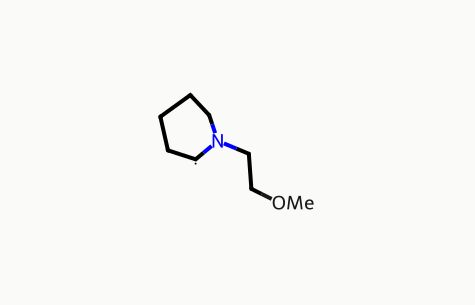 COCCN1[CH]CCCC1